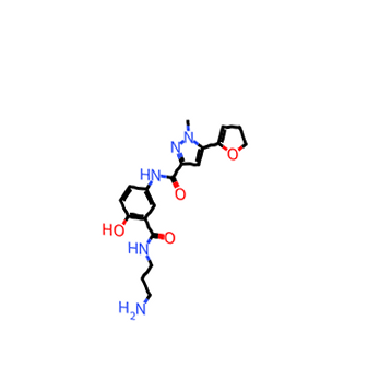 Cn1nc(C(=O)Nc2ccc(O)c(C(=O)NCCCN)c2)cc1C1=CCCO1